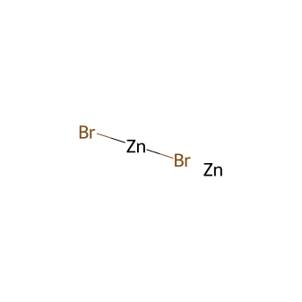 [Br][Zn][Br].[Zn]